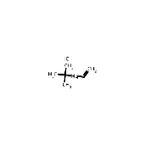 C=[CH][Hg][C](C)(C)C.Cl